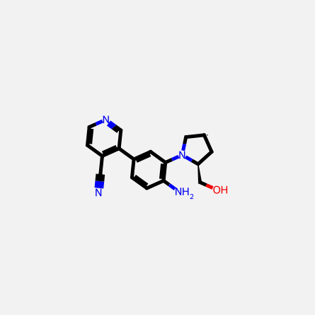 N#Cc1ccncc1-c1ccc(N)c(N2C[CH]C[C@H]2CO)c1